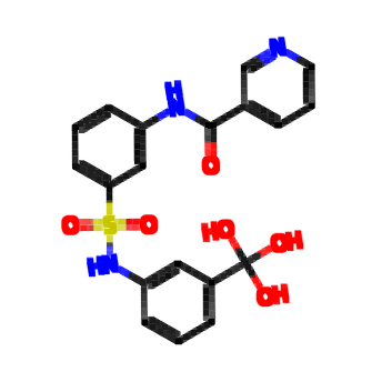 O=C(Nc1cccc(S(=O)(=O)Nc2cccc(C(O)(O)O)c2)c1)c1cccnc1